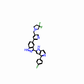 Fc1ccc(-c2nccc3[nH]c(-c4n[nH]c5ccc(-c6cncc(CN7CCC(F)(F)C7)c6)cc45)cc23)cc1